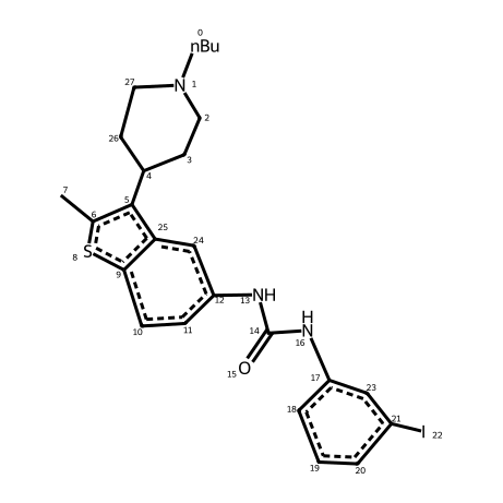 CCCCN1CCC(c2c(C)sc3ccc(NC(=O)Nc4cccc(I)c4)cc23)CC1